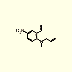 C=CCN(C)c1ccc([N+](=O)[O-])cc1C=C